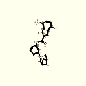 Cc1ccc(F)c2cc(C(=O)Nc3cccc(N4CC5CC(C4)O5)c3)[nH]c12